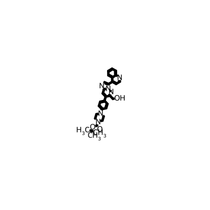 CC(C)(C)OC(=O)N1CCN(c2ccc(-c3cc4ncc(-c5ccnc6ccccc56)n4nc3CO)cc2)CC1